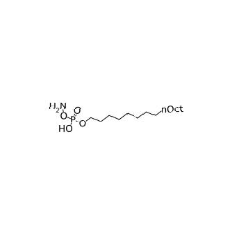 CCCCCCCCCCCCCCCCOP(=O)(O)ON